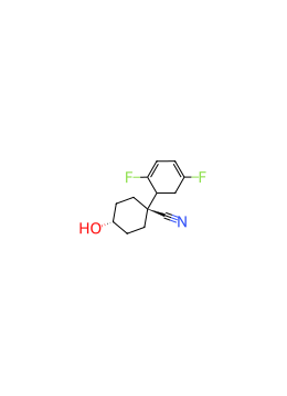 N#C[C@]1(C2CC(F)=CC=C2F)CC[C@@H](O)CC1